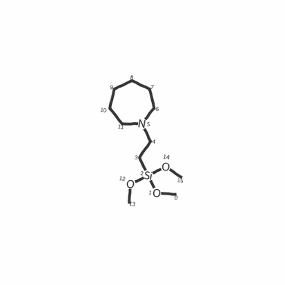 CO[Si](CCN1CCCCCC1)(OC)OC